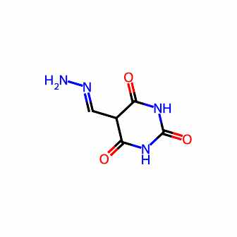 N/N=C/C1C(=O)NC(=O)NC1=O